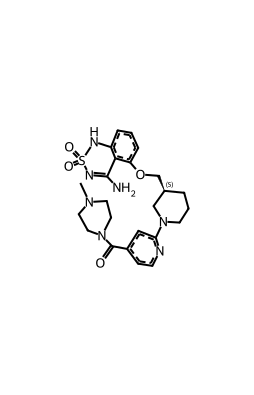 CN1CCN(C(=O)c2ccnc(N3CCC[C@H](COc4cccc5c4C(N)=NS(=O)(=O)N5)C3)c2)CC1